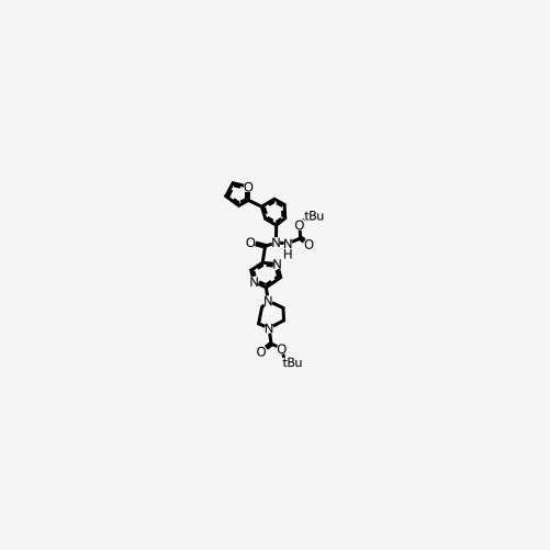 CC(C)(C)OC(=O)NN(C(=O)c1cnc(N2CCN(C(=O)OC(C)(C)C)CC2)cn1)c1cccc(-c2ccco2)c1